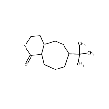 CC(C)(C)C1CCCC2C(=O)NCCN2CC1